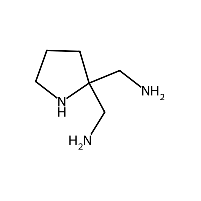 NCC1(CN)CCCN1